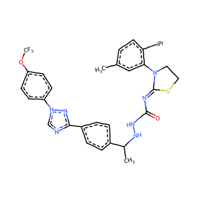 Cc1ccc(C(C)C)c(N2CCS/C2=N\C(=O)NNC(C)c2ccc(-c3ncn(-c4ccc(OC(F)(F)F)cc4)n3)cc2)c1